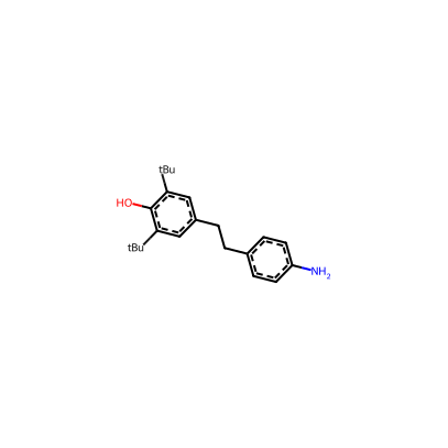 CC(C)(C)c1cc(CCc2ccc(N)cc2)cc(C(C)(C)C)c1O